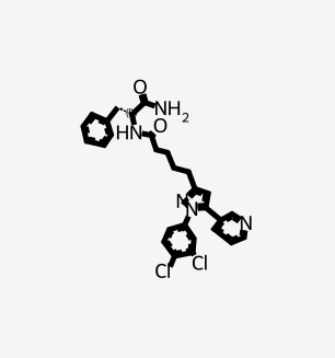 NC(=O)[C@@H](Cc1ccccc1)NC(=O)CCCCc1cc(-c2cccnc2)n(-c2ccc(Cl)c(Cl)c2)n1